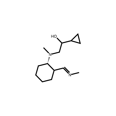 C/N=C/C1CCCC[C@@H]1N(C)CC(O)C1CC1